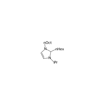 CCCCCCCCN1C=CN(C(C)C)C1CCCCCC